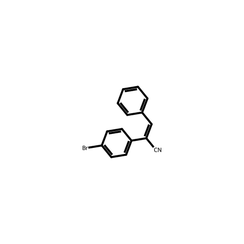 N#CC(=Cc1ccccc1)c1ccc(Br)cc1